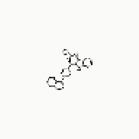 Clc1nc(-c2ccc(-c3cccc4ccccc34)cc2)c2sc3ccccc3c2n1